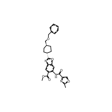 COC(=O)c1cc2nc([C@H]3CC[C@H](COCc4ccccc4)CC3)oc2cc1NC(=O)c1coc(C)n1